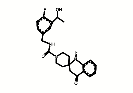 CC(O)c1cc(CNC(=O)N2CCC3(CC2)CC(=O)c2ccccc2N3F)ccc1F